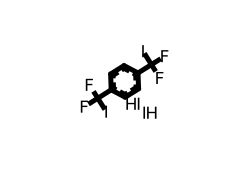 FC(F)(I)c1ccc(C(F)(F)I)cc1.I.I